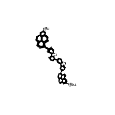 CC(C)(C)c1cc2ccc3ccc(-c4ccc5oc6ccc(-c7cccc8c7oc7ccc(-c9ccc%10ccc%11cc(C(C)(C)C)cc%12ccc9c%10c%11%12)cc78)cc6c5c4)c4ccc(c1)c2c34